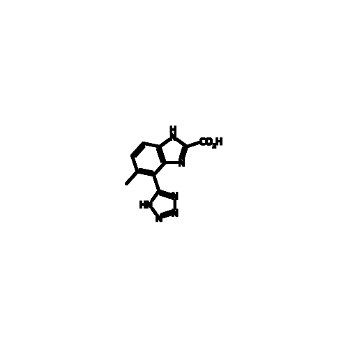 Cc1ccc2[nH]c(C(=O)O)nc2c1-c1nnn[nH]1